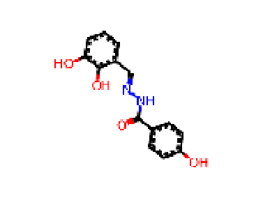 O=C(NN=Cc1cccc(O)c1O)c1ccc(O)cc1